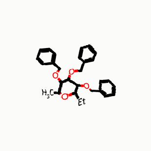 CCC1OC(C)C(OCc2ccccc2)C(OCc2ccccc2)C1OCc1ccccc1